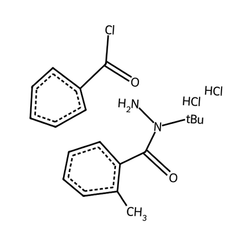 Cc1ccccc1C(=O)N(N)C(C)(C)C.Cl.Cl.O=C(Cl)c1ccccc1